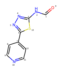 O=CNc1nnc(-c2ccncc2)s1